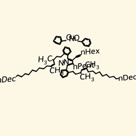 CCCCCCC#CC1=C(c2ccccc2CCC(C)C=C(C)CCCCCCCCCCCCCCCCCCC)[N+](=[N-])C(c2ccccc2CCC(C)C=C(C)CCCCCCCCCCCCCCCCCCC)=C1CCCCC.c1ccc(C[O][Ni][O]Cc2ccccc2)cc1